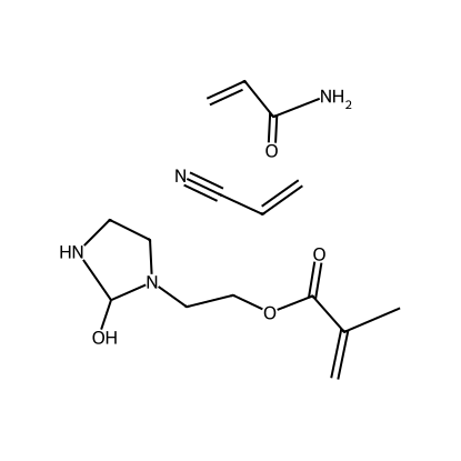 C=C(C)C(=O)OCCN1CCNC1O.C=CC#N.C=CC(N)=O